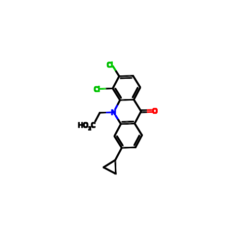 O=C(O)Cn1c2cc(C3CC3)ccc2c(=O)c2ccc(Cl)c(Cl)c21